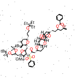 C=C(Br)CC(CC[C@@]12C[C@H]3O[C@H]4[C@@H](O1)[C@H]1O[C@@H](CC(=O)[C@@H]([C@@H]5[C@@H](OC)[C@@H](C[C@@H](CO[Si](C)(C)C(C)(C)C)O[Si](C)(C)C(C)(C)C)O[C@H]5C[C@H]5O[C@@H](CCCO[Si](CC)(CC)CC)C[C@@H](C)C5=C)S(=O)(=O)c5ccccc5)CC[C@@H]1O[C@H]4[C@H]3O2)OC(=O)c1ccccc1